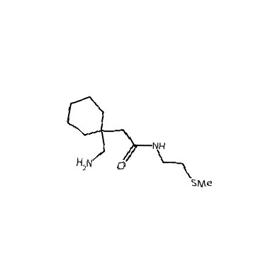 CSCCNC(=O)CC1(CN)CCCCC1